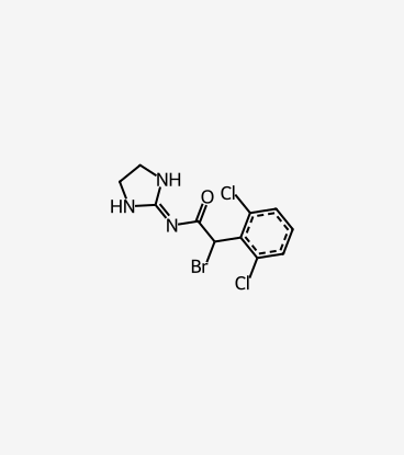 O=C(N=C1NCCN1)C(Br)c1c(Cl)cccc1Cl